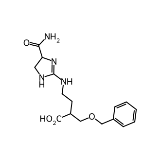 NC(=O)C1CNC(NCCC(COCc2ccccc2)C(=O)O)=N1